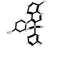 CC1CCN(c2c(S(=O)(=O)c3cccc(F)c3)cnc3c(F)cccc23)CC1